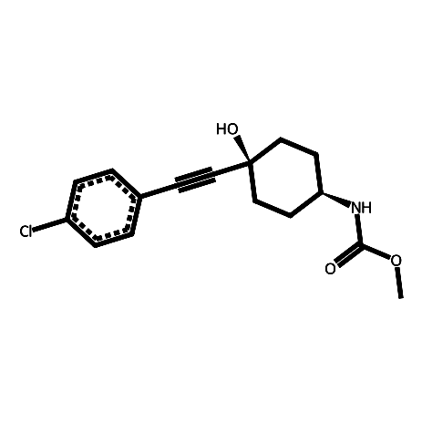 COC(=O)N[C@H]1CC[C@](O)(C#Cc2ccc(Cl)cc2)CC1